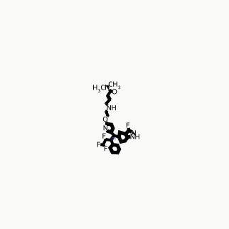 CN(C)C(=O)C=CCNCCOc1ccc(/C(=C(/c2ccccc2)C(F)C(F)F)c2ccc3[nH]nc(F)c3c2)cn1